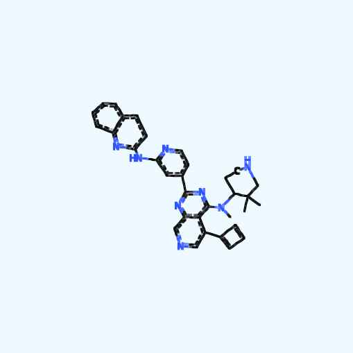 CN(c1nc(-c2ccnc(Nc3ccc4ccccc4n3)c2)nc2cncc(C3=CC=C3)c12)C1CCNCC1(C)C